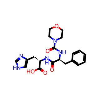 O=C(O)[C@H](Cc1c[nH]cn1)NC(=O)[C@H](Cc1ccccc1)NC(=O)N1CCOCC1